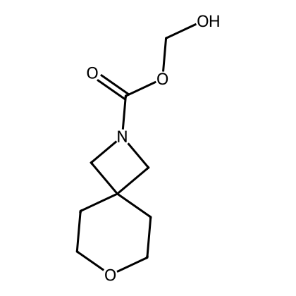 O=C(OCO)N1CC2(CCOCC2)C1